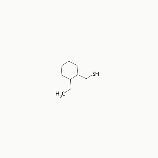 CCC1CCCCC1CS